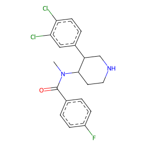 CN(C(=O)c1ccc(F)cc1)C1CCNCC1c1ccc(Cl)c(Cl)c1